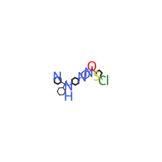 CC(Nc1ccc(N2CCN(C(=O)c3ccc(Cl)s3)CC2)cc1)(c1cccnc1)C1CCCCC1